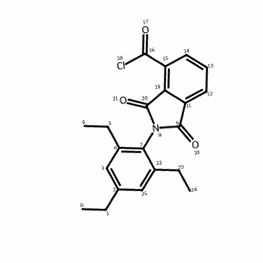 CCc1cc(CC)c(N2C(=O)c3cccc(C(=O)Cl)c3C2=O)c(CC)c1